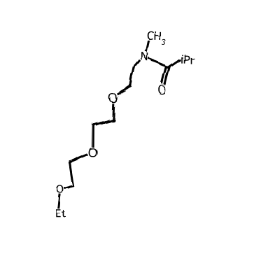 CCOCCOCCOCCN(C)C(=O)C(C)C